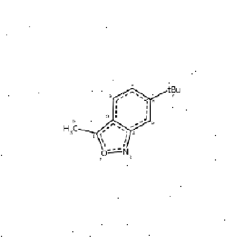 Cc1onc2cc(C(C)(C)C)ccc12